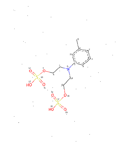 Cc1cccc(N(CCOS(=O)(=O)O)CCOS(=O)(=O)O)c1